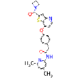 Cc1cc(C)nc(NC(=O)Cc2ccc(Oc3ccnc4cc(C(=O)N5CCC5)sc34)cc2)c1